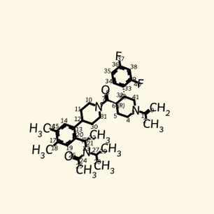 C=C(C)N1CC[C@@H](C(=O)N2CCC(c3cc(C)c(C)cc3[C@@H](C)N(C(C)=O)C(C)C)CC2)[C@H](c2ccc(F)cc2F)C1